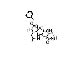 CC(C)CC(NC(=O)OCc1ccccc1)C(=O)NC(C[C@@H]1CCCNC1=O)C(=O)O